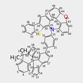 CC1(C)c2ccccc2C2(c3ccccc3-c3ccc(-c4ccc(N(c5cccc6c5sc5ccccc56)c5cccc6oc7ccccc7c56)cc4)cc32)c2ccccc21